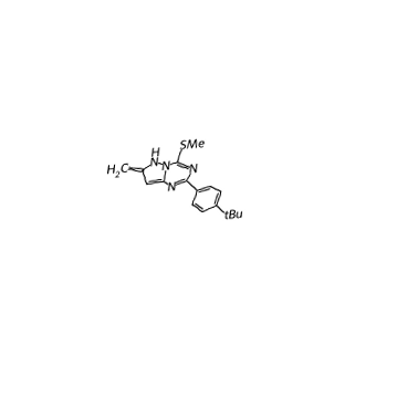 C=C1C=C2N=C(c3ccc(C(C)(C)C)cc3)N=C(SC)N2N1